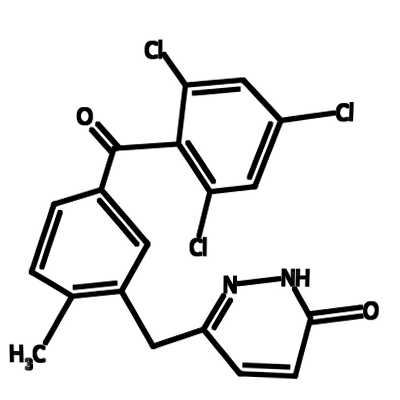 Cc1ccc(C(=O)c2c(Cl)cc(Cl)cc2Cl)cc1Cc1ccc(=O)[nH]n1